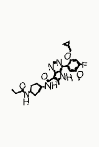 CCC(=O)NC1CCC(NC(=O)c2c(C)[nH]c3c(-c4cc(OC)c(F)cc4OCC4CC4)ncnc23)CC1